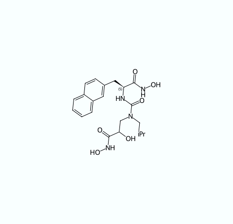 CC(C)CN(CC(O)C(=O)NO)C(=O)N[C@@H](Cc1ccc2ccccc2c1)C(=O)NO